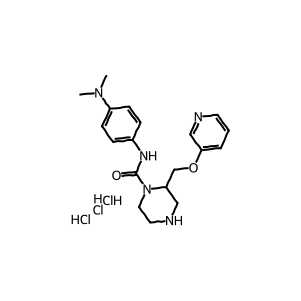 CN(C)c1ccc(NC(=O)N2CCNCC2COc2cccnc2)cc1.Cl.Cl.Cl